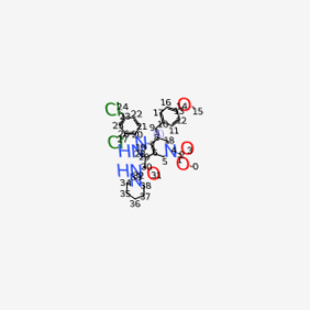 COC(=O)N1CC2=C(/C(=C/c3ccc(OC)cc3)C1)N(c1ccc(Cl)cc1Cl)NC2C(=O)NN1CCCCC1